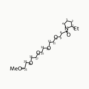 CCC1CCCN1C(=O)CCOCCOCCOCCOCCOC